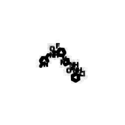 Cc1ccc(CNC(=O)c2cc(-n3cc(NC(=O)Nc4ccccc4Cl)cn3)ccc2F)cn1